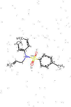 C=CCN(C(/C=C\C)=C/C)S(=O)(=O)c1ccc(C)cc1